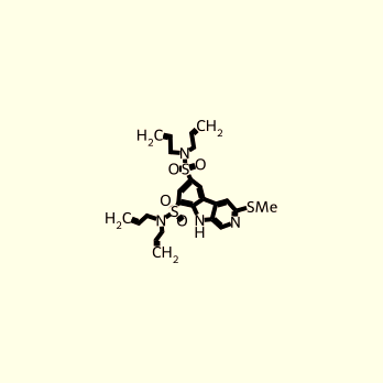 C=CCN(CC=C)S(=O)(=O)c1cc(S(=O)(=O)N(CC=C)CC=C)c2[nH]c3cnc(SC)cc3c2c1